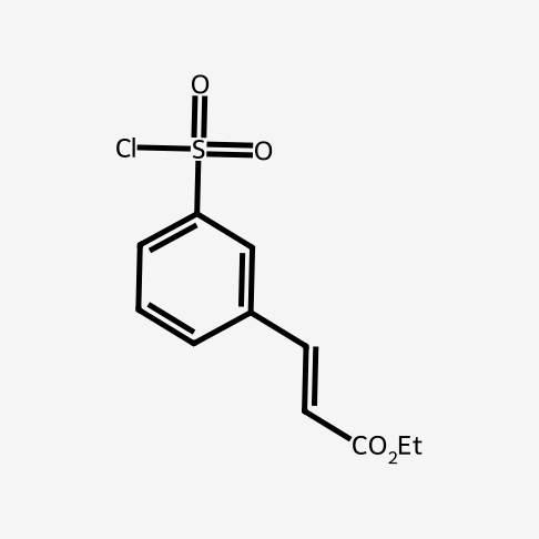 CCOC(=O)/C=C/c1cccc(S(=O)(=O)Cl)c1